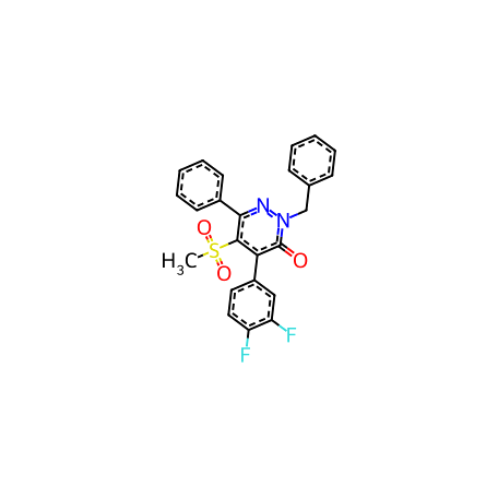 CS(=O)(=O)c1c(-c2ccccc2)nn(Cc2ccccc2)c(=O)c1-c1ccc(F)c(F)c1